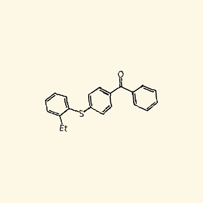 CCc1ccccc1Sc1ccc(C(=O)c2ccccc2)cc1